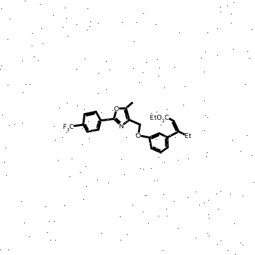 CCOC(=O)/C=C(/CC)c1cccc(OCc2nc(-c3ccc(C(F)(F)F)cc3)oc2C)c1